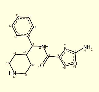 Nc1nc(C(=O)NC(c2ccccc2)C2CCNCC2)co1